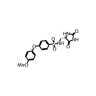 COc1ccc(Oc2ccc(S(=O)(=O)NC[C@@H]3NC(=O)NC3=O)cc2)cc1